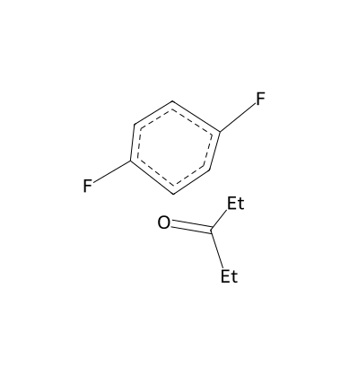 CCC(=O)CC.Fc1ccc(F)cc1